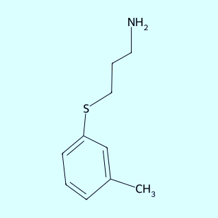 Cc1cccc(SCCCN)c1